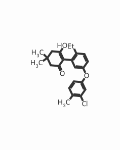 CCc1ccc(Oc2ccc(C)c(Cl)c2)cc1C1=C(O)CC(C)(C)CC1=O